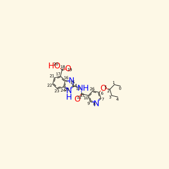 CCC(CC)Oc1cncc(C(=O)Nc2nc3c(C(=O)O)cccc3[nH]2)c1